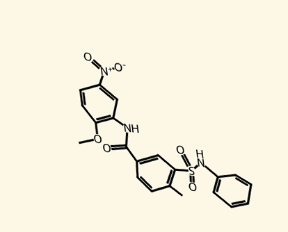 COc1ccc([N+](=O)[O-])cc1NC(=O)c1ccc(C)c(S(=O)(=O)Nc2ccccc2)c1